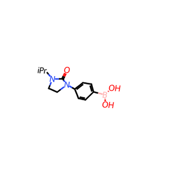 CC(C)N1CCN(c2ccc(B(O)O)cc2)C1=O